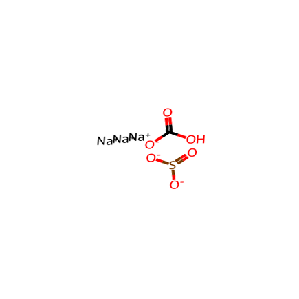 O=C([O-])O.O=S([O-])[O-].[Na+].[Na+].[Na+]